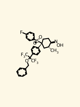 C[C@@H]1C[C@](c2ccc(C(OCc3ccccc3)(C(F)(F)F)C(F)(F)F)cc2)(S(=O)(=O)c2ccc(F)cc2)CC/C1=N/O